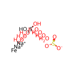 O.O.O.O.O.O.O.O=S(=O)(O)O.O=S([O-])[O-].[Fe].[Na+].[Na+]